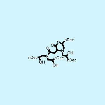 CCCCCCCCCCC(O)CN(CC(O)CCCCCCCCCC)C(=O)CC1C(=O)OC(CCCCCCCCCC)CN1CC(O)CCCCCCCCCC